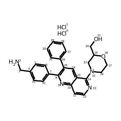 Cl.Cl.NCc1ccc(-c2nc3ccnc(N4CCOC(CO)C4)c3cc2-c2ccccc2)cc1